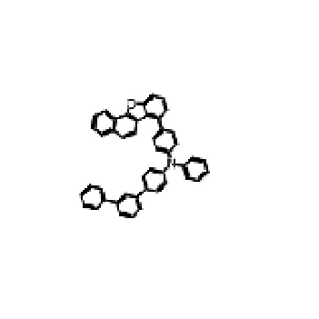 c1ccc(-c2cccc(-c3ccc(N(c4ccccc4)c4ccc(-c5cccc6oc7c8ccccc8ccc7c56)cc4)cc3)c2)cc1